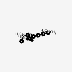 Cc1ccc(-c2ccc(-c3ccc(-c4ccc5c(c4)Oc4ccc(-c6nc(C)nc(-c7ccccc7)n6)cc4C54c5ccccc5-c5ccccc54)cc3)cc2)c(C)n1